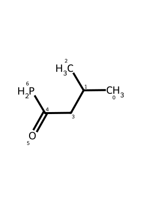 CC(C)CC(=O)P